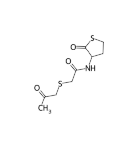 CC(=O)CSCC(=O)NC1CCSC1=O